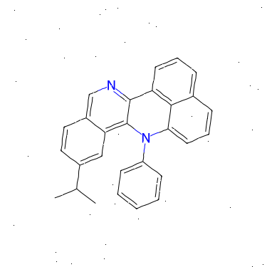 CC(C)c1ccc2cnc3c(c2c1)N(c1ccccc1)c1cccc2cccc-3c12